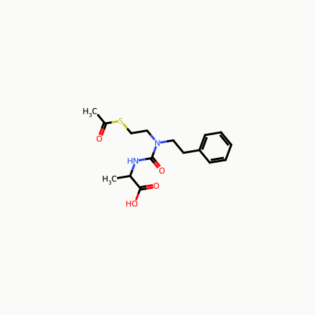 CC(=O)SCCN(CCc1ccccc1)C(=O)NC(C)C(=O)O